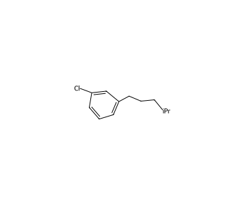 CC(C)CCCc1cccc(Cl)c1